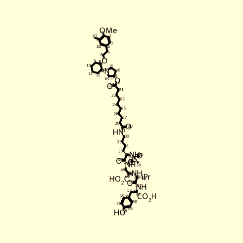 COc1ccc(CCO[C@@H]2CCCC[C@H]2N2CC[C@@H](OC(=O)CCCCCCCCC(=O)NCCCC[C@@H](NS(C)(=O)=O)C(=O)NC[C@@H](N[C@@H](C(=O)N[C@H](Cc3ccc(O)cc3)C(=O)O)C(C)C)C(=O)O)C2)cc1C